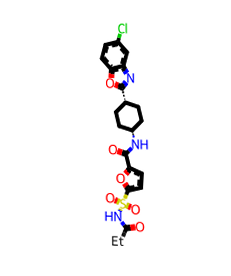 CCC(=O)NS(=O)(=O)c1ccc(C(=O)N[C@H]2CC[C@@H](c3nc4cc(Cl)ccc4o3)CC2)o1